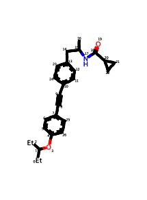 CCC(CC)Oc1ccc(C#Cc2ccc(CC(C)NC(=O)C3CC3)cc2)cc1